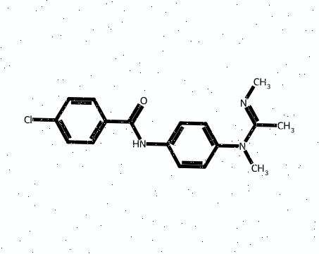 CN=C(C)N(C)c1ccc(NC(=O)c2ccc(Cl)cc2)cc1